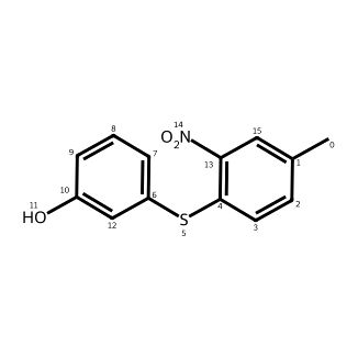 Cc1ccc(Sc2cccc(O)c2)c([N+](=O)[O-])c1